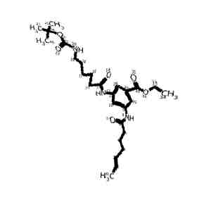 CCCCCCC(=O)Nc1cc(NC(=O)CCCCCNC(=O)OC(C)(C)C)cc(C(=O)OCC)c1